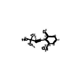 CC(C)(O)C#Cc1c(Cl)cccc1[N+](=O)[O-]